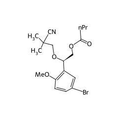 CCCC(=O)OC[C@H](OCC(C)(C)C#N)c1cc(Br)ccc1OC